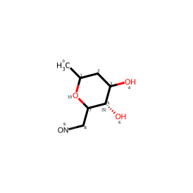 CC1CC(O)[C@H](O)C(CN=O)O1